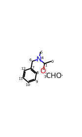 CC(O[C]=O)N(C)Cc1ccccc1